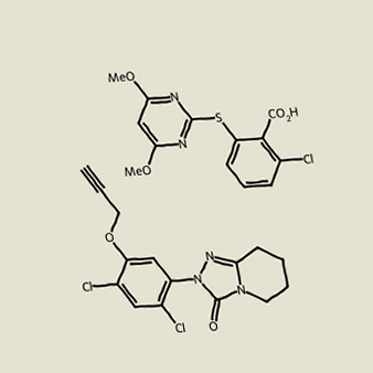 C#CCOc1cc(-n2nc3n(c2=O)CCCC3)c(Cl)cc1Cl.COc1cc(OC)nc(Sc2cccc(Cl)c2C(=O)O)n1